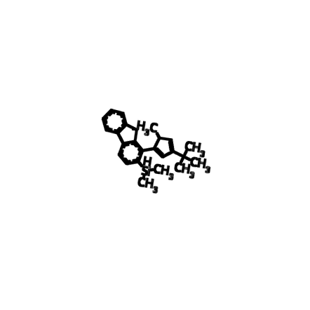 CC1C=C(C(C)(C)C)C=C1c1c([SiH](C)C)ccc2c1[CH]c1ccccc1-2